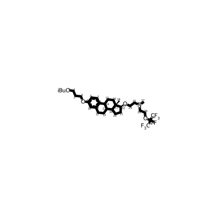 CC(C)COCCCOc1ccc2c(c1)CCC1C2CC[C@@]2(C)C1CC[C@@H]2OCCN(C)CCOC(F)(C(F)(F)F)C(F)(F)F